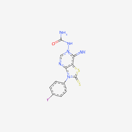 N=c1c2sc(=S)n(-c3ccc(I)cc3)c2ncn1NC(N)=O